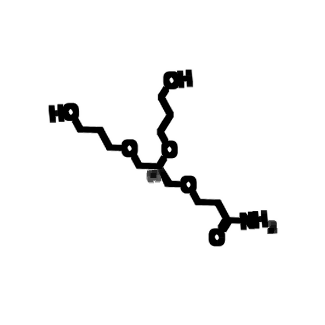 NC(=O)CCOC[C@@H](COCCCO)OCCCO